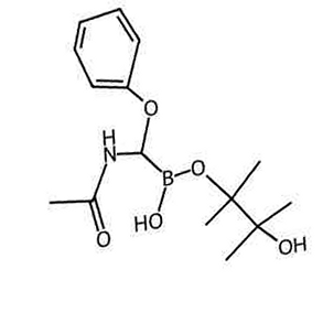 CC(=O)NC(Oc1ccccc1)B(O)OC(C)(C)C(C)(C)O